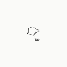 [C]1=NCCS1.[Eu]